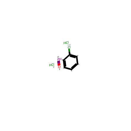 Cl.Cl.Clc1ccccc1.O=P